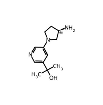 CC(C)(O)c1cncc(N2CC[C@@H](N)C2)c1